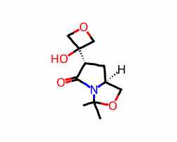 CC1(C)OC[C@@H]2C[C@@H](C3(O)COC3)C(=O)N21